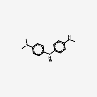 CNc1ccc([PH](=O)c2ccc(N(C)C)cc2)cc1